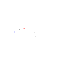 CN[C@H](C)c1cc2c(C)nc3c(F)c(-c4cccc(Cl)c4Cl)c(CCC#N)cc3c2n1[C@H]1[C@@H]2C[C@H]1N(C(=O)OC(C)(C)C)C2